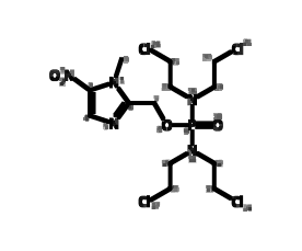 Cn1c([N+](=O)[O-])cnc1COP(=O)(N(CCCl)CCCl)N(CCCl)CCCl